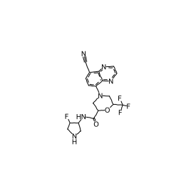 N#Cc1ccc(N2CC(C(=O)NC3CNCC3F)OC(C(F)(F)F)C2)c2nccnc12